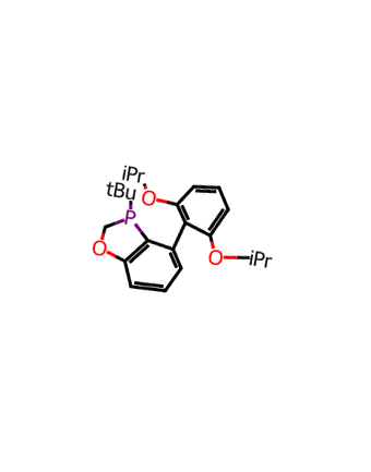 CC(C)Oc1cccc(OC(C)C)c1-c1cccc2c1P(C(C)(C)C)CO2